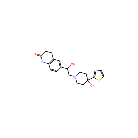 O=C1CCc2cc(C(O)CN3CCC(O)(c4cccs4)CC3)ccc2N1